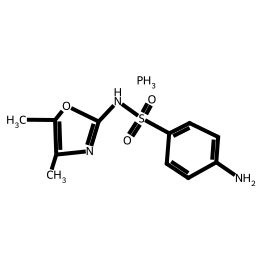 Cc1nc(NS(=O)(=O)c2ccc(N)cc2)oc1C.P